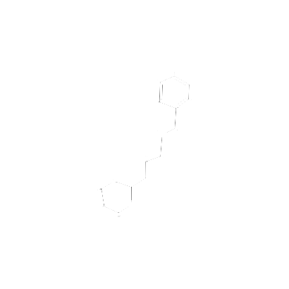 O[C@H](COCc1ccccc1)CC1SCCCS1